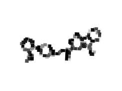 COc1ccccc1N1CCN(CCNC(=O)CN2C(=O)C3CC=CCC3C2=O)CC1